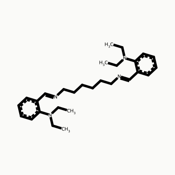 CCN(CC)c1ccccc1C=NCCCCCCN=Cc1ccccc1N(CC)CC